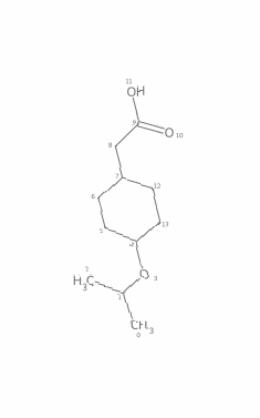 CC(C)OC1CCC(CC(=O)O)CC1